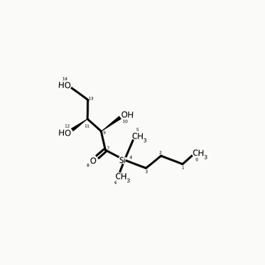 CCCC[Si](C)(C)C(=O)[C@H](O)[C@@H](O)CO